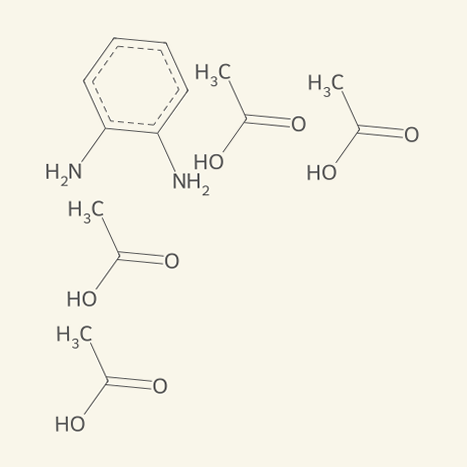 CC(=O)O.CC(=O)O.CC(=O)O.CC(=O)O.Nc1ccccc1N